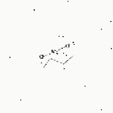 [CH2]CCC.[Cl][Mg][Cl]